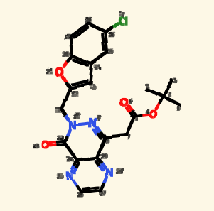 CC(C)(C)OC(=O)Cc1nn(Cc2cc3cc(Cl)ccc3o2)c(=O)c2nccnc12